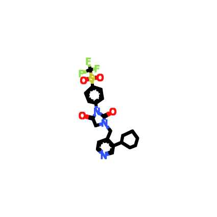 O=C1CN(Cc2ccncc2C2CCCCC2)C(=O)N1c1ccc(S(=O)(=O)C(F)(F)F)cc1